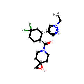 CCn1cc([C@H]2CC(F)(F)CC[C@@H]2C(=O)N2CCC3(CC2)CO3)cn1